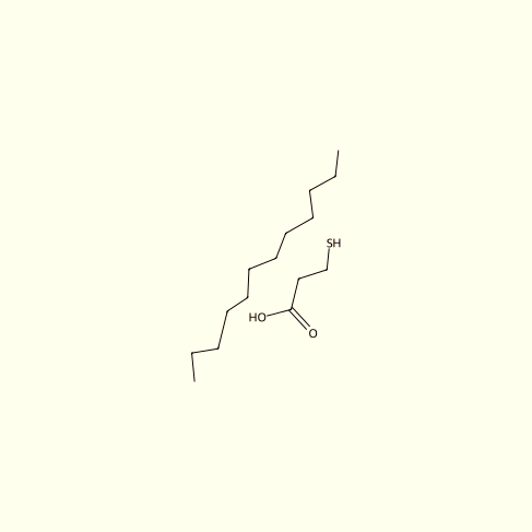 CCCCCCCCCCCC.O=C(O)CCS